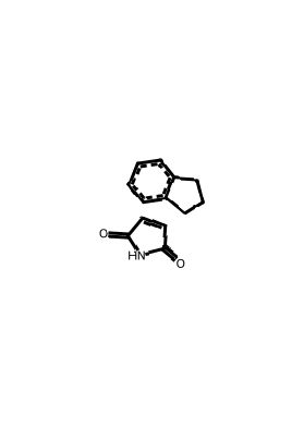 O=C1C=CC(=O)N1.c1ccc2c(c1)CCC2